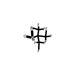 O=S(=O)(Br)C(C(F)(F)F)(C(F)(F)F)C(F)(F)F